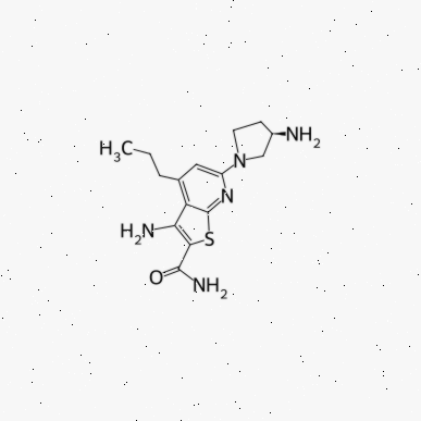 CCCc1cc(N2CC[C@@H](N)C2)nc2sc(C(N)=O)c(N)c12